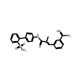 C/C(=C\c1cccc(C(=N)N)c1)C(=O)Nc1ccc(-c2ccccc2S(N)(=O)=O)cc1